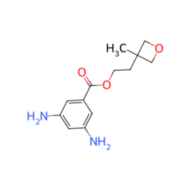 CC1(CCOC(=O)c2cc(N)cc(N)c2)COC1